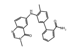 Cc1ccc(-c2ccccc2C(N)=O)cc1Nc1ccc2ncn(C)c(=O)c2c1